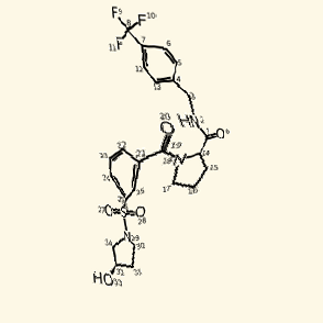 O=C(NCc1ccc(C(F)(F)F)cc1)[C@H]1CCCN1C(=O)c1cccc(S(=O)(=O)N2CC[C@@H](O)C2)c1